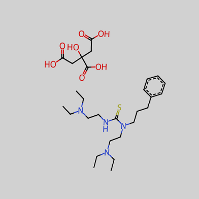 CCN(CC)CCNC(=S)N(CCCc1ccccc1)CCN(CC)CC.O=C(O)CC(O)(CC(=O)O)C(=O)O